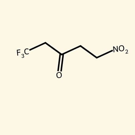 O=C(CC[N+](=O)[O-])CC(F)(F)F